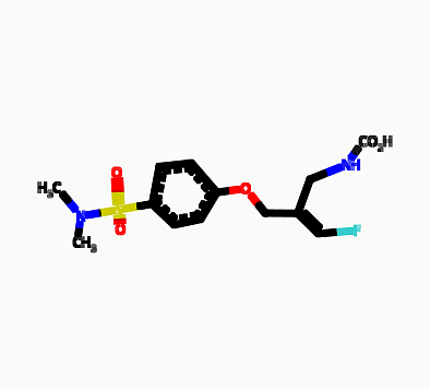 CN(C)S(=O)(=O)c1ccc(OCC(=CF)CNC(=O)O)cc1